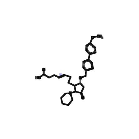 COc1ccc(-c2ccc(COC3CC(=O)C(N4CCCCC4)C3CC/C=C/CCC(=O)O)cc2)cc1